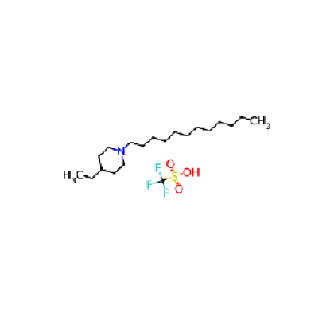 CCCCCCCCCCCCN1CCC(CC)CC1.O=S(=O)(O)C(F)(F)F